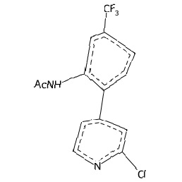 CC(=O)Nc1cc(C(F)(F)F)ccc1-c1ccnc(Cl)c1